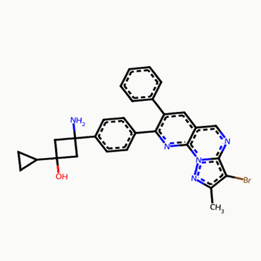 Cc1nn2c(ncc3cc(-c4ccccc4)c(-c4ccc(C5(N)CC(O)(C6CC6)C5)cc4)nc32)c1Br